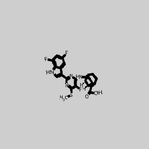 CSc1nc(-c2c[nH]c3c(F)cc(F)cc23)nc(N[C@H]2C3CCC(CC3)[C@@H]2C(=O)O)c1F